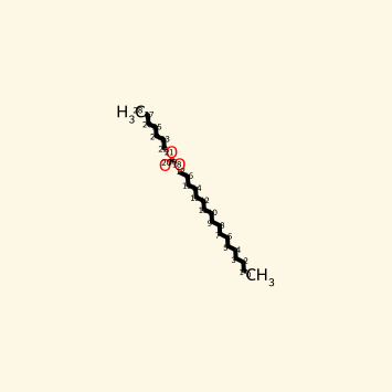 CCCCCCCCCCCCCCCCCCOC(=O)OCCCCCCC